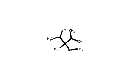 CNC(C)(C(C)C)C(C)C